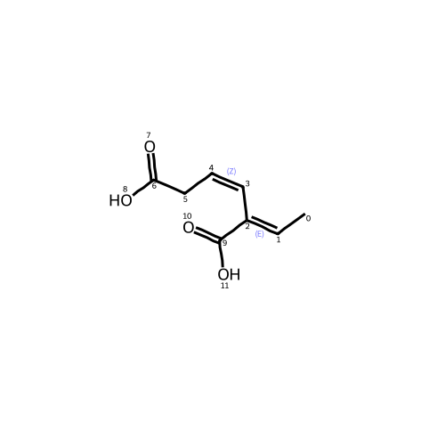 C/C=C(\C=C/CC(=O)O)C(=O)O